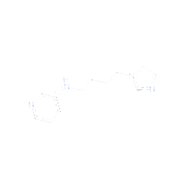 c1cncc(NCCCCn2ccnc2)c1